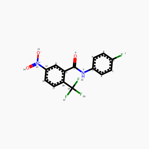 O=C(Nc1ccc(F)cc1)c1cc([N+](=O)[O-])ccc1C(F)(F)F